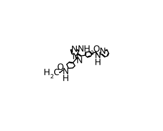 C=CC(=O)NC1CC=C(c2nc(-c3ccc(C(=O)Nc4ccccn4)cc3)c3c(N)nccn23)CC1